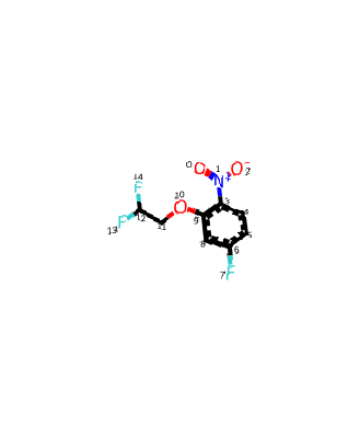 O=[N+]([O-])c1ccc(F)cc1OCC(F)F